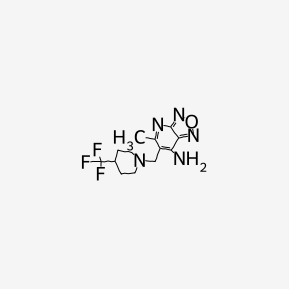 Cc1nc2nonc2c(N)c1CN1CCC(C(F)(F)F)CC1